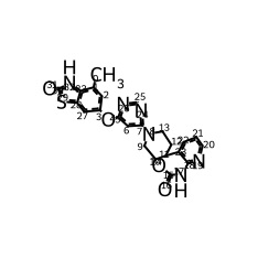 Cc1cc(Oc2cc(N3CCC4(CC3)OC(=O)Nc3ncccc34)ncn2)cc2sc(=O)[nH]c12